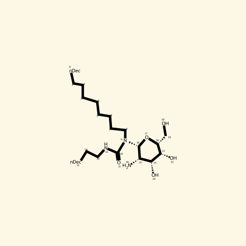 CCCCCCCCCCCCCCCCCCN(C(=O)NCCCCCCCCCCCC)[C@@H]1O[C@H](CO)[C@H](O)[C@H](O)[C@@H]1N